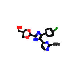 CSc1nccc(-c2[nH]c(C3OCC(CO)CO3)nc2-c2ccc(F)cc2)n1